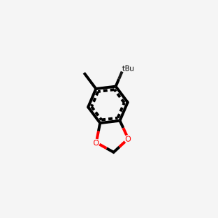 Cc1cc2c(cc1C(C)(C)C)OCO2